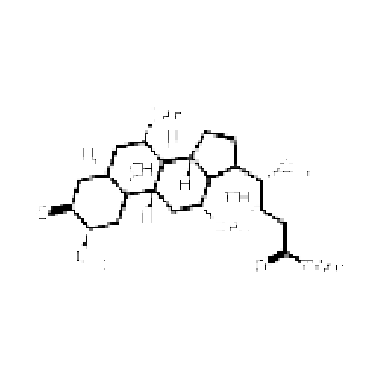 COC(=O)CC[C@@H](C)C1CC[C@H]2[C@@H]3[C@H](OC(C)=O)C[C@@H]4CC(=O)[C@H](C)C[C@]4(C)[C@H]3C[C@H](OC(C)=O)[C@]12C